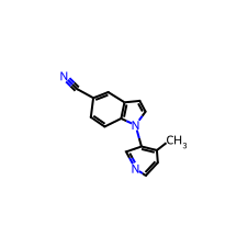 Cc1ccncc1-n1ccc2cc(C#N)ccc21